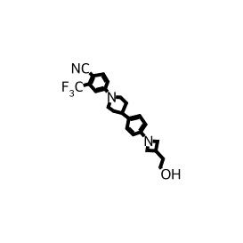 N#Cc1ccc(N2CCC(c3ccc(N4CC(CCO)C4)cc3)CC2)cc1C(F)(F)F